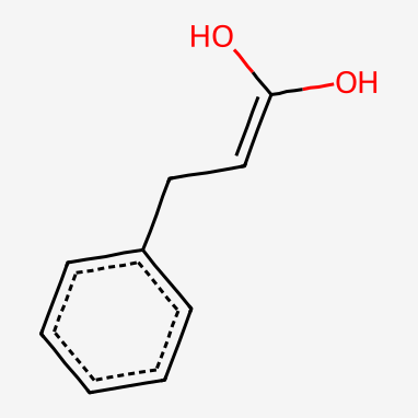 OC(O)=CCc1ccccc1